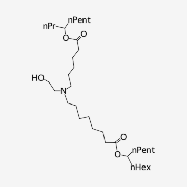 CCCCCCC(CCCCC)OC(=O)CCCCCCCN(CCO)CCCCCC(=O)OC(CCC)CCCCC